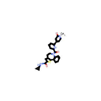 Cn1ccc(-c2cccc(C(=O)N3CCc4cc(C(=O)NC5CC5)sc4-c4ccccc43)n2)cc1=O